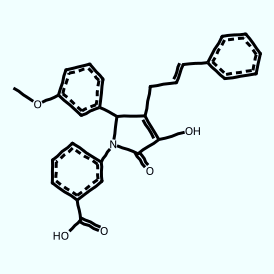 COc1cccc(C2C(CC=Cc3ccccc3)=C(O)C(=O)N2c2cccc(C(=O)O)c2)c1